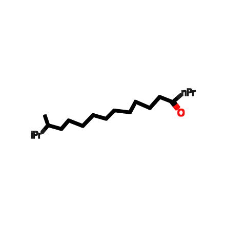 CCCC(=O)CCCCCCCCCCC(C)C(C)C